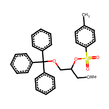 COCC(COC(c1ccccc1)(c1ccccc1)c1ccccc1)OS(=O)(=O)c1ccc(C)cc1